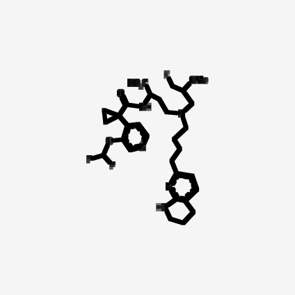 COC(CF)CN(CCCCc1ccc2c(n1)NCCC2)CCC(NC(=O)C1(c2ccncc2OC(F)F)CC1)C(=O)O